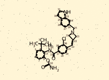 CC(C)(C)c1cccc(OC(N)=O)c1NC(=O)c1ccc(C=C2CN(Cc3ccc4cc[nH]c4c3)C2)c(Cl)c1